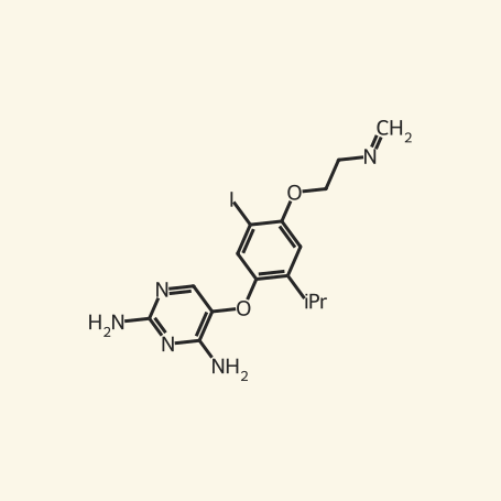 C=NCCOc1cc(C(C)C)c(Oc2cnc(N)nc2N)cc1I